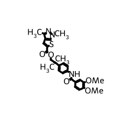 COc1ccc(C(=O)Nc2ccc(C(C)(C)COC(=O)c3cc4c(C)nn(C)c4s3)cc2)cc1OC